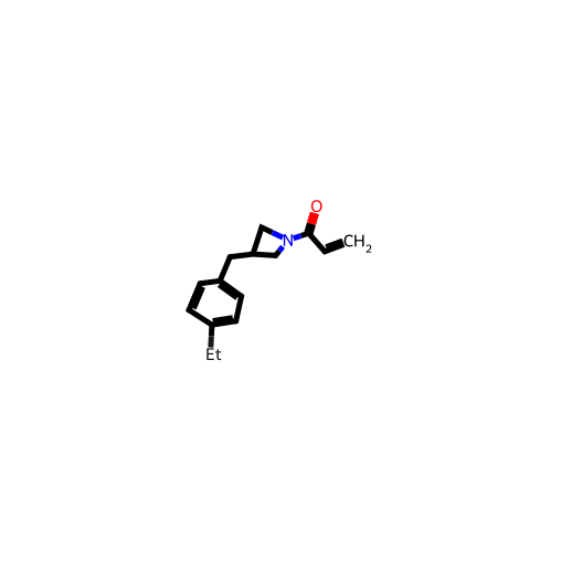 C=CC(=O)N1CC(Cc2ccc(CC)cc2)C1